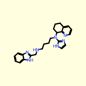 c1cnc2c(c1)CCCC2N(CCCCNCc1nc2ccccc2[nH]1)c1ncc[nH]1